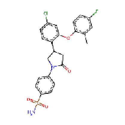 Cc1cc(F)ccc1Oc1cc(Cl)ccc1[C@H]1CC(=O)N(c2ccc(S(N)(=O)=O)cc2)C1